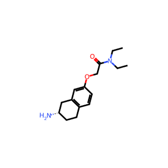 CCN(CC)C(=O)COc1ccc2c(c1)C[C@@H](N)CC2